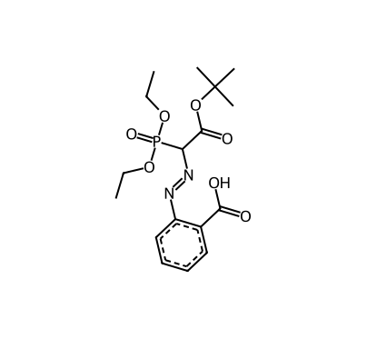 CCOP(=O)(OCC)C(N=Nc1ccccc1C(=O)O)C(=O)OC(C)(C)C